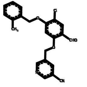 Cc1ccccc1COc1cc(OCc2cncc(C#N)c2)c(C=O)cc1Cl